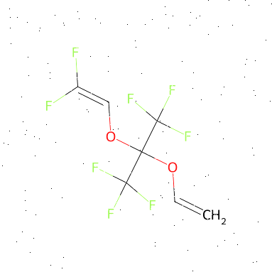 C=COC(OC=C(F)F)(C(F)(F)F)C(F)(F)F